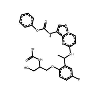 CC(Nc1ccn2ncc(NC(=O)Oc3ccccc3)c2n1)c1cc(F)ccc1OCC(CO)NC(=O)O